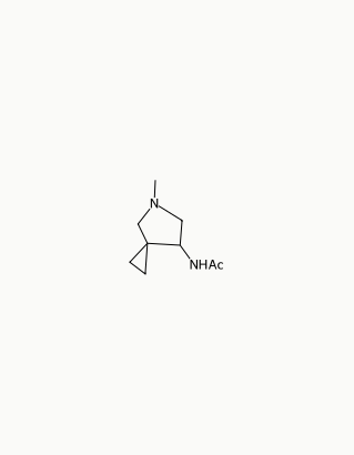 CC(=O)NC1CN(C)CC12CC2